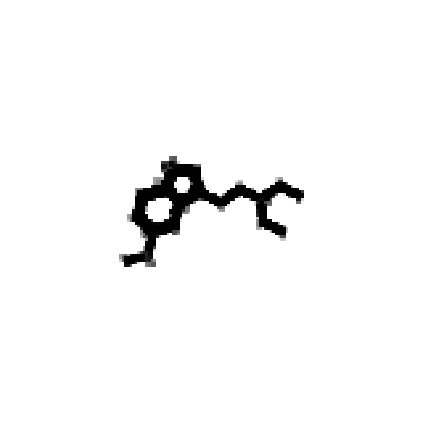 CCN(CC)CCc1c[nH]c2ccc(OC)cc12